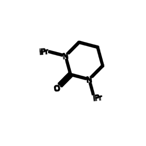 CC(C)N1CCCN(C(C)C)C1=O